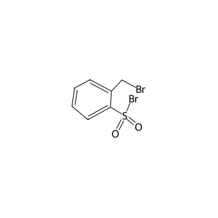 O=S(=O)(Br)c1ccccc1CBr